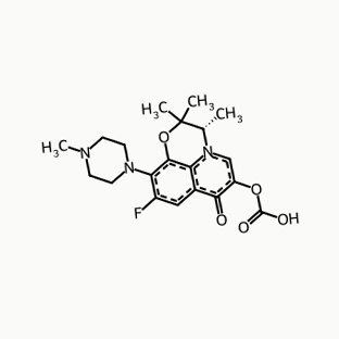 C[C@@H]1n2cc(OC(=O)O)c(=O)c3cc(F)c(N4CCN(C)CC4)c(c32)OC1(C)C